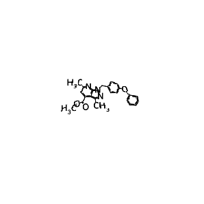 COC(=O)c1cc(C)nc2c1c(C)nn2Cc1ccc(Oc2ccccc2)cc1